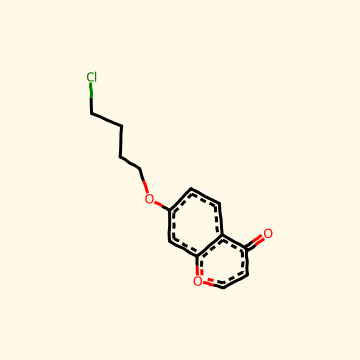 O=c1ccoc2cc(OCCCCCl)ccc12